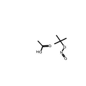 CC(=O)O.CC(C)(C)ON=O